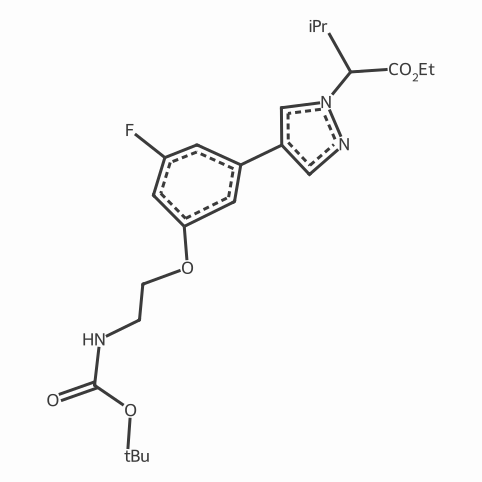 CCOC(=O)C(C(C)C)n1cc(-c2cc(F)cc(OCCNC(=O)OC(C)(C)C)c2)cn1